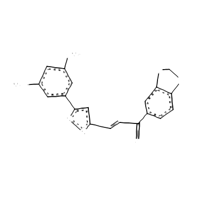 COc1cc(OC)cc(-c2cc(C=CC(=O)c3ccc4c(c3)OCO4)[nH]n2)c1